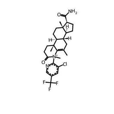 CC1=C2[C@](C)(CCC(=O)[N+]2(C)c2ncc(C(F)(F)F)cc2Cl)[C@H]2CC[C@]3(C)[C@@H](C(N)=O)CC[C@H]3[C@@H]2C1